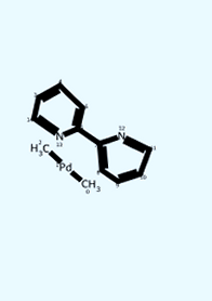 [CH3][Pd][CH3].c1ccc(-c2ccccn2)nc1